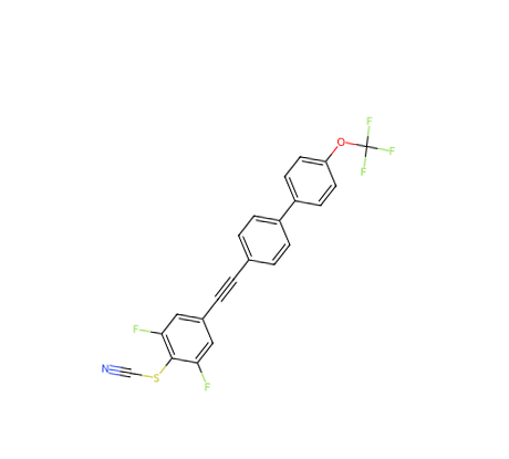 N#CSc1c(F)cc(C#Cc2ccc(-c3ccc(OC(F)(F)F)cc3)cc2)cc1F